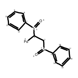 O=S(C[CH]([Pd])S(=O)c1ccccc1)c1ccccc1